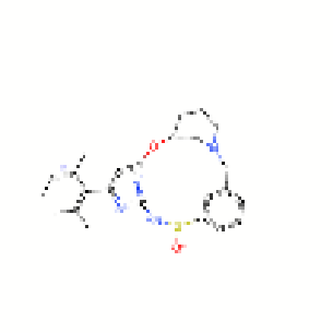 C/C=C(/C)C(=C(C)C)c1cc2nc(n1)N[S+]([O-])c1cccc(c1)CN1CCCC(C1)O2